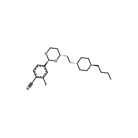 CCCC[C@H]1CC[C@H](CC[C@H]2CCO[C@H](c3ccc(C#N)c(F)c3)O2)CC1